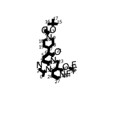 Cc1cnc2cc(C3CCN(C(=O)OC(C)(C)C)CC3)c(=O)n(Cc3cccnc3OC(F)(F)F)c2n1